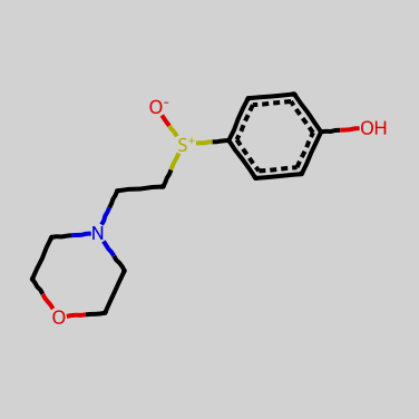 [O-][S+](CCN1CCOCC1)c1ccc(O)cc1